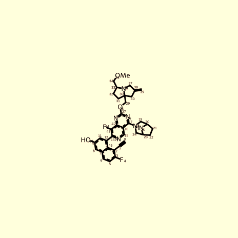 C#Cc1c(F)ccc2cc(O)cc(-c3ncc4c(N5CC6CCC(C5)N6)nc(OCC56CCC(COC)N5CC(=C)C6)nc4c3F)c12